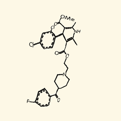 COC(=O)C1=C(C)NC(C)=C(C(=O)OCCN2CCC(C(=O)c3ccc(F)cc3)CC2)C1c1ccc(Cl)cc1Cl